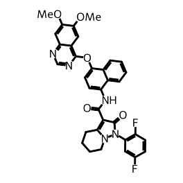 COc1cc2ncnc(Oc3ccc(NC(=O)c4c5n(n(-c6cc(F)ccc6F)c4=O)CCCC5)c4ccccc34)c2cc1OC